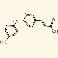 Cc1ccc(Nc2ccc(C=CC(=O)O)cn2)cc1